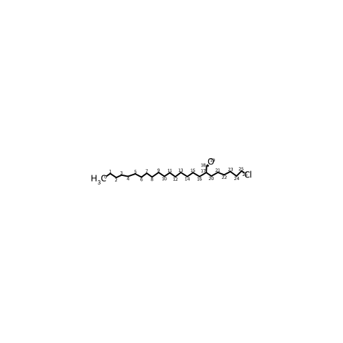 CCCCCCCCCCCCCCCCCC(C=O)CCCCCCCl